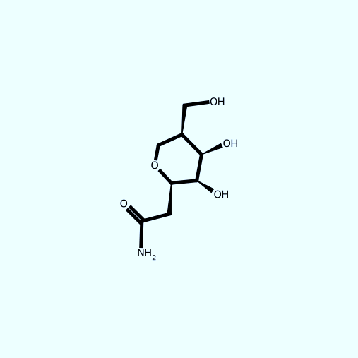 NC(=O)C[C@H]1OC[C@@H](CO)[C@@H](O)[C@H]1O